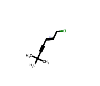 CC(C)(C)C#C/C=C/CCl